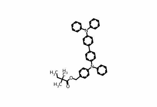 CCC(C)(C)C(=O)OCc1ccc(N(c2ccccc2)c2ccc(-c3ccc(N(c4ccccc4)c4ccccc4)cc3)cc2)cc1